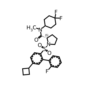 CN(C(=O)[C@@H]1CCCN1S(=O)(=O)c1ccc(C2CCC2)cc1-c1ccccc1F)C1CCC(F)(F)CC1